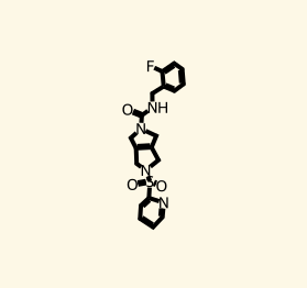 O=C(NCc1ccccc1F)N1CC2=C(C1)CN(S(=O)(=O)c1ccccn1)C2